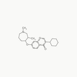 CC1CN(C)CCCC1Oc1ccc2c(=O)c(C3CCCCC3)coc2c1